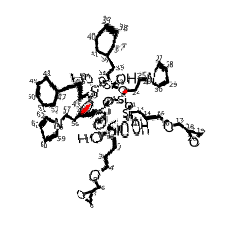 O[Si]1(CCCOCC2CO2)O[Si](O)(CCCOCC2CO2)O[Si]2(CCCn3cccc3)O[Si](O)(CCC3CC=CCC3)O[Si](O)(CCC3CC=CCC3)O[Si](CCCn3cccc3)(O1)O2